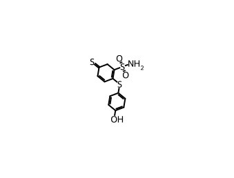 NS(=O)(=O)C1=C(Sc2ccc(O)cc2)C=CC(=S)C1